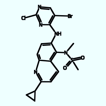 CN(c1c(Nc2nc(Cl)ncc2Br)ccc2nc(C3CC3)ccc12)S(C)(=O)=O